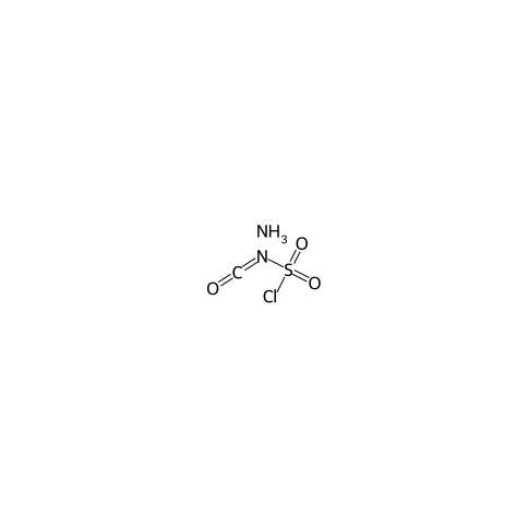 N.O=C=NS(=O)(=O)Cl